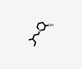 CCC(C)CCN1CCCC(O)C1